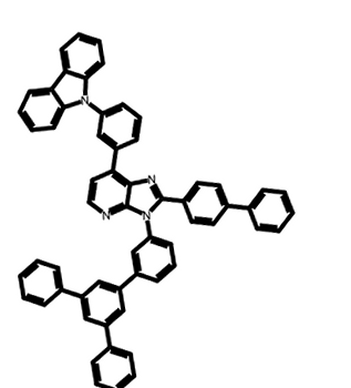 c1ccc(-c2ccc(-c3nc4c(-c5cccc(-n6c7ccccc7c7ccccc76)c5)ccnc4n3-c3cccc(-c4cc(-c5ccccc5)cc(-c5ccccc5)c4)c3)cc2)cc1